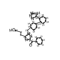 C#CCCc1nc(C(=O)c2ccccc2)nn1Cc1ccc(-c2ccccc2-c2nnn[nH]2)cc1